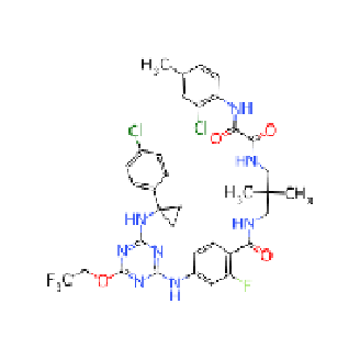 Cc1ccc(NC(=O)C(=O)NCC(C)(C)CNC(=O)c2ccc(Nc3nc(NC4(c5ccc(Cl)cc5)CC4)nc(OCC(F)(F)F)n3)cc2F)c(Cl)c1